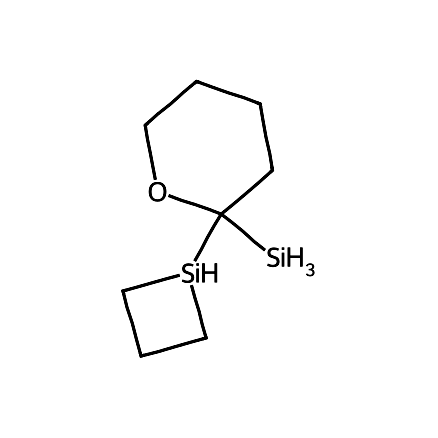 [SiH3]C1([SiH]2CCC2)CCCCO1